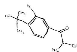 CN(C)C(=O)c1ccc(C(C)(C)O)c(Br)c1